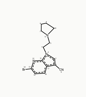 N#Cc1cn(CCN2CCCC2)c2nc(Br)ccc12